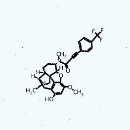 COc1cc(O)c2c3c1O[C@H]1[C@@H](N(C)C(=O)C#Cc4ccc(C(F)(F)F)cc4)CC[C@H]4[C@@H](C2)N(C)CC[C@@]341